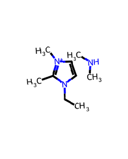 CCn1cc[n+](C)c1C.CNC